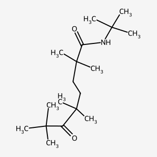 CC(C)(C)NC(=O)C(C)(C)CCC(C)(C)C(=O)C(C)(C)C